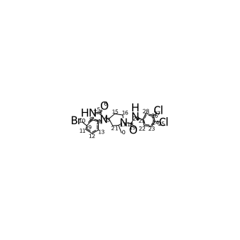 CC1CC(n2c(=O)[nH]c3c(Br)cccc32)CCN1C(=O)Nc1ccc(Cl)c(Cl)c1